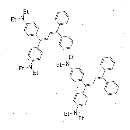 CCN(CC)c1ccc(C(=CC=C(c2ccccc2)c2ccccc2)c2ccc(N(CC)CC)cc2)cc1.CCN(CC)c1ccc(C(=CC=C(c2ccccc2)c2ccccc2)c2ccc(N(CC)CC)cc2)cc1